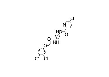 O=C(COc1ccc(Cl)c(Cl)c1)NC12CC(NC(=O)c3ccc(Cl)cn3)(C1)C2